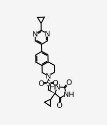 O=C1NC(=O)[C@](CS(=O)(=O)N2CCc3cc(-c4cnc(C5CC5)nc4)ccc3C2)(C2CC2)N1